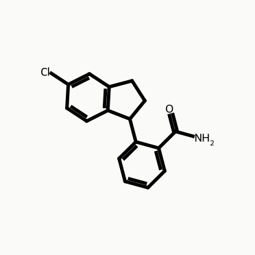 NC(=O)c1ccccc1C1CCc2cc(Cl)ccc21